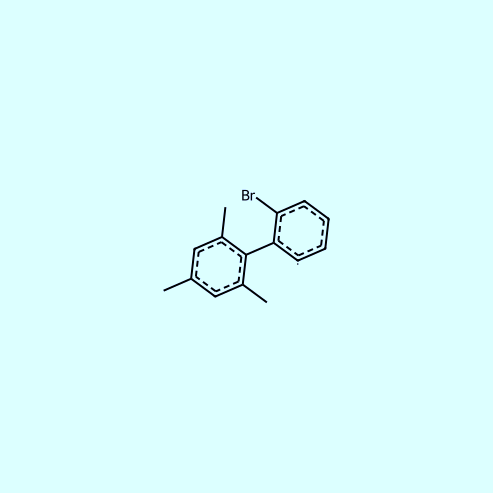 Cc1cc(C)c(-c2[c]cccc2Br)c(C)c1